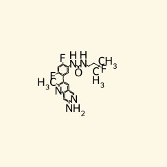 Cc1nc2cc(N)ncc2cc1-c1cc(NC(=O)NCCC(C)(C)F)c(F)cc1F